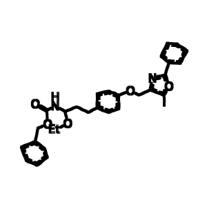 CCOC(CCc1ccc(OCc2nc(-c3ccccc3)oc2C)cc1)NC(=O)OCc1ccccc1